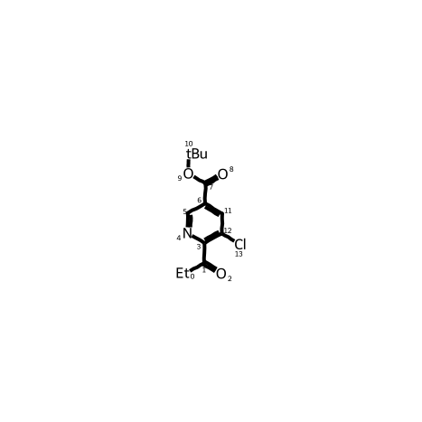 CCC(=O)c1ncc(C(=O)OC(C)(C)C)cc1Cl